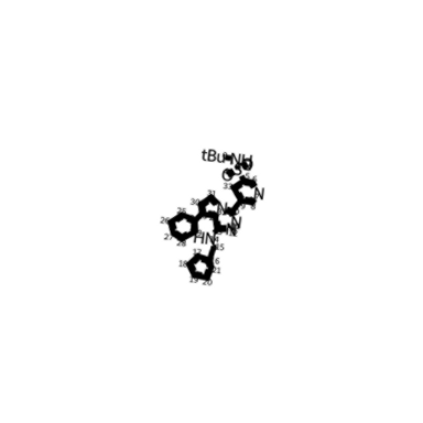 CC(C)(C)NS(=O)(=O)c1cncc(-c2nnc(NCc3ccccc3)c3c(-c4ccccc4)ccn23)c1